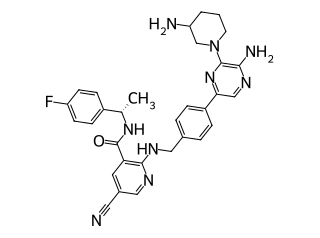 C[C@H](NC(=O)c1cc(C#N)cnc1NCc1ccc(-c2cnc(N)c(N3CCCC(N)C3)n2)cc1)c1ccc(F)cc1